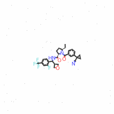 CC[C@@H]1CC[C@H](C(=O)NC(c2ccc(C(F)(F)F)cc2F)C2COC2)N1C(=O)c1cccc(C2(C#N)CC2)c1